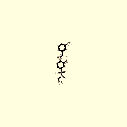 C[C@H](Nc1ccc(S(=O)(=O)N(C)CP)cc1Br)c1cccc(C(F)(F)F)c1